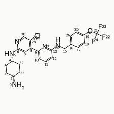 N[C@H]1CC[C@H](Nc2cc(-c3cccc(NCc4ccc(OC(F)(F)F)cc4)n3)c(Cl)cn2)CC1